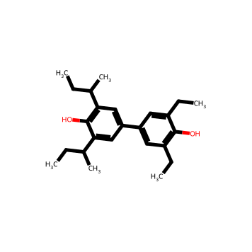 CCc1cc(-c2cc(C(C)CC)c(O)c(C(C)CC)c2)cc(CC)c1O